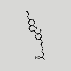 C=CCc1ccc2nc(-c3ccc(C=CCCCC(C)O)cc3F)cnc2c1